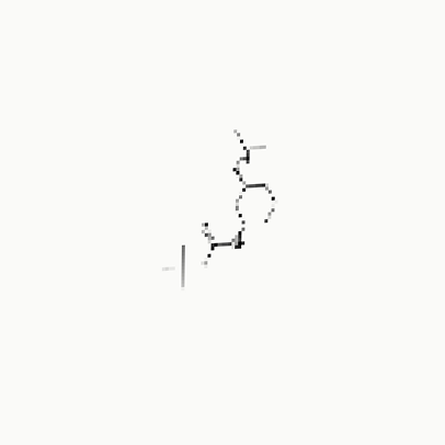 C[SH](C)C[C@H]1CCC[C@@H](NC(=O)OC(C)(C)C)C1